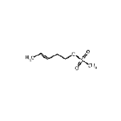 CC=CCCOS(C)(=O)=O